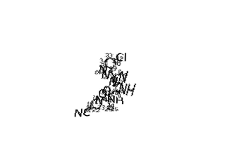 Cn1nc(-c2cnc3[nH]cc(C(=O)N[C@@H](C(=O)N4CCC(C#N)CC4)C4CC4)c3n2)c2cc(Cl)ccc21